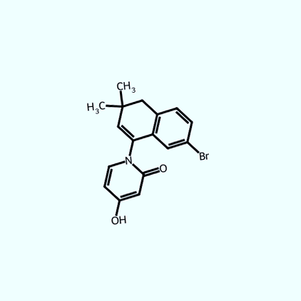 CC1(C)C=C(n2ccc(O)cc2=O)c2cc(Br)ccc2C1